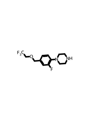 Fc1cc(COCC(F)(F)F)ccc1N1CCNCC1